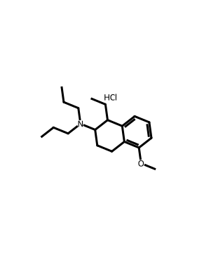 CCCN(CCC)C1CCc2c(OC)cccc2C1CC.Cl